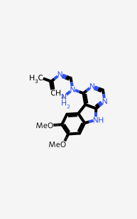 C=C(C)/N=C\N(N)c1ncnc2[nH]c3cc(OC)c(OC)cc3c12